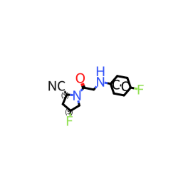 N#C[C@@H]1C[C@H](F)CN1C(=O)CNC12CCC(F)(CC1)CC2